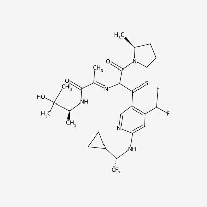 C/C(=N\C(C(=O)N1CCC[C@@H]1C)C(=S)c1cnc(N[C@@H](C2CC2)C(F)(F)F)cc1C(F)F)C(=O)N[C@@H](C)C(C)(C)O